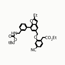 CCOC(=O)Cc1ccc(C#N)cc1OCc1cc(-c2cccc(CNC(=O)OC(C)(C)C)c2)c2oc(CC)cc2c1